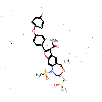 CNC(=O)c1c(-c2ccc(Oc3ccc(F)cc3)cc2)oc2cc3c(cc12)[C@H](C)O[C@H](C[S+](C)[O-])CN3S(C)(=O)=O